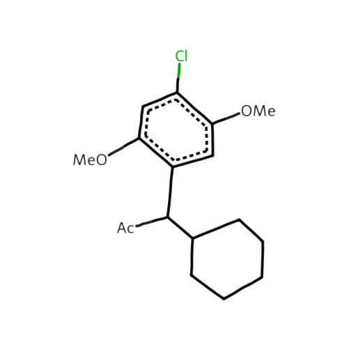 COc1cc(C(C(C)=O)C2CCCCC2)c(OC)cc1Cl